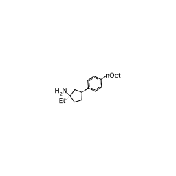 CCCCCCCCc1ccc([C@H]2CC[C@](N)(CC)C2)cc1